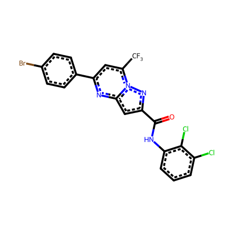 O=C(Nc1cccc(Cl)c1Cl)c1cc2nc(-c3ccc(Br)cc3)cc(C(F)(F)F)n2n1